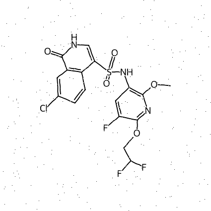 COc1nc(OCC(F)F)c(F)cc1NS(=O)(=O)c1c[nH]c(=O)c2cc(Cl)ccc12